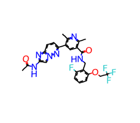 CC(=O)Nc1cn2nc(-c3cc(C(=O)NCc4c(F)cccc4OCC(F)(F)F)c(C)nc3C)ccc2n1